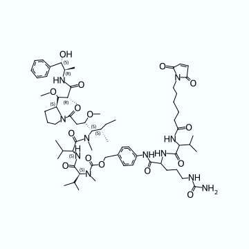 CC[C@H](C)[C@@H](C(CC(=O)N1CCC[C@H]1C(OC)[C@@H](C)C(=O)N[C@H](C)[C@@H](O)c1ccccc1)OC)N(C)C(=O)[C@@H](NC(=O)[C@H](C(C)C)N(C)C(=O)OCc1ccc(NC(=O)C(CCCNC(N)=O)NC(=O)C(NC(=O)CCCCCN2C(=O)C=CC2=O)C(C)C)cc1)C(C)C